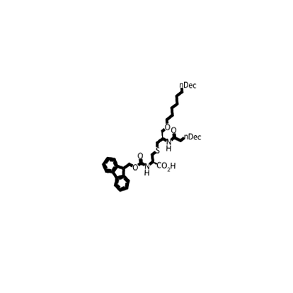 CCCCCCCCCCCCCCCCOC[C@H](CSC[C@H](NC(=O)OCC1c2ccccc2-c2ccccc21)C(=O)O)NC(=O)CCCCCCCCCCC